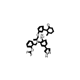 C=C(COc1cccc(C2C(=O)CCCC2C)c1)N(Cc1ccccc1OC(F)F)c1cc(-c2cn[nH]c2)ccc1N